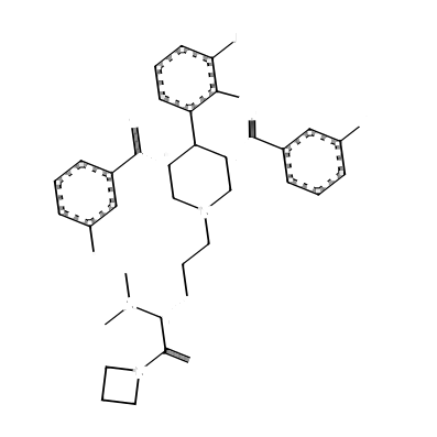 Cc1c(F)cccc1C1[C@@H](C(=O)c2cccc(O)c2)CN(CCC[C@H](C(=O)N2CCC2)N(C)C)C[C@H]1C(=O)c1cccc(O)c1